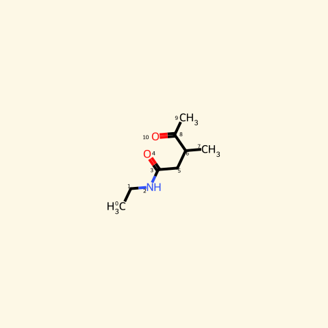 CCNC(=O)CC(C)C(C)=O